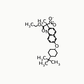 CCOC(=O)C(C)(c1ccc2cc(O[C@H]3CC[C@H](C(C)(C)C)CC3)ccc2n1)[N+](=O)[O-]